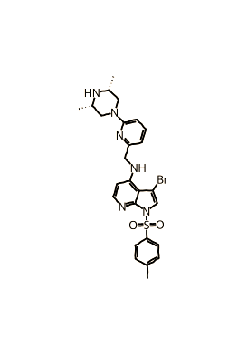 Cc1ccc(S(=O)(=O)n2cc(Br)c3c(NCc4cccc(N5C[C@@H](C)N[C@@H](C)C5)n4)ccnc32)cc1